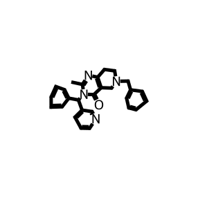 Cc1nc2c(c(=O)n1C(c1ccccc1)c1cccnc1)CN(Cc1ccccc1)CC2